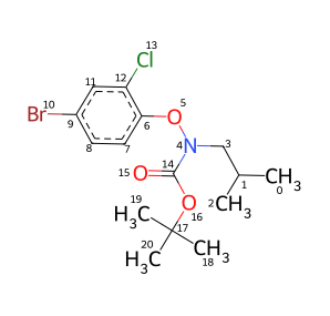 CC(C)CN(Oc1ccc(Br)cc1Cl)C(=O)OC(C)(C)C